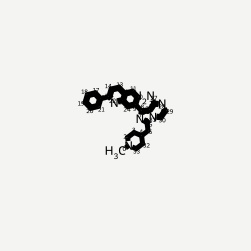 CN1CCC(Cc2nc(-c3ccc4ccc(-c5ccccc5)nc4c3)c3c(N)nccn23)CC1